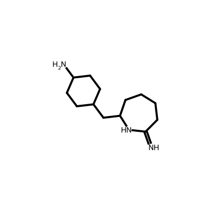 N=C1CCCCC(CC2CCC(N)CC2)N1